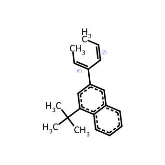 C/C=C\C(=C/C)c1cc(C(C)(C)C)c2ccccc2c1